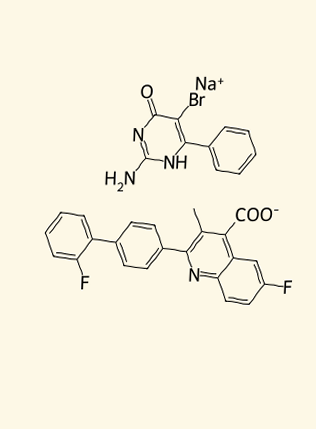 Cc1c(-c2ccc(-c3ccccc3F)cc2)nc2ccc(F)cc2c1C(=O)[O-].Nc1nc(=O)c(Br)c(-c2ccccc2)[nH]1.[Na+]